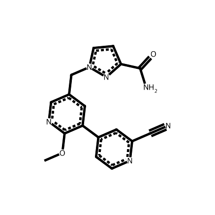 COc1ncc(Cn2ccc(C(N)=O)n2)cc1-c1ccnc(C#N)c1